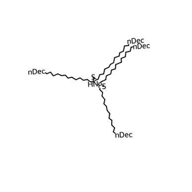 CCCCCCCCCCCCCCCCCCCCCCCP(=S)(CCCCCCCCCCCCCCCCCCCCCCC)NP(=S)(CCCCCCCCCCCCCCCCCCCCCCC)CCCCCCCCCCCCCCCCCCCCCCC